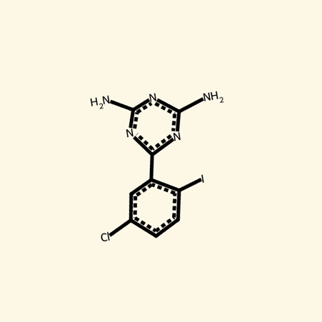 Nc1nc(N)nc(-c2cc(Cl)ccc2I)n1